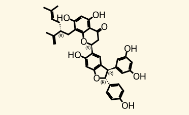 C=C(C)[C@H](CC=C(C)C)Cc1c(O)cc(O)c2c1O[C@H](c1cc3c(cc1O)O[C@@H](c1ccc(O)cc1)[C@@H]3c1cc(O)cc(O)c1)CC2=O